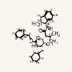 CC(C)[C@H](C[C@H](O)[C@H](CC1CCCCC1)NC(=O)OCc1ccccn1)C(=O)N[C@H]1c2ccccc2C[C@H]1O